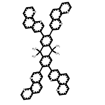 CC1(C)c2cc(-c3cnc4c(ccc5cccnc54)c3)c(-c3cnc4c(ccc5cccnc54)c3)cc2C(C)(C)c2cc(-c3cnc4c(ccc5cccnc54)c3)c(-c3cnc4c(ccc5cccnc54)c3)cc21